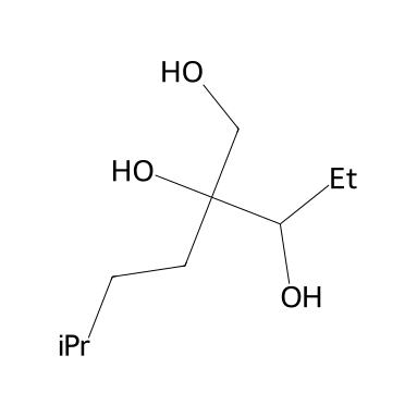 CCC(O)C(O)(CO)CCC(C)C